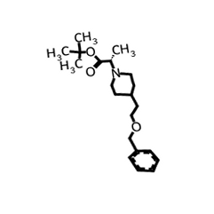 C[C@@H](C(=O)OC(C)(C)C)N1CCC(CCOCc2ccccc2)CC1